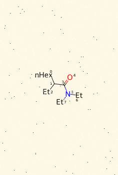 CCCCCCC(CC)C(=O)N(CC)CC